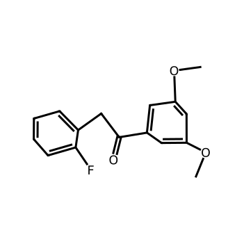 COc1cc(OC)cc(C(=O)Cc2ccccc2F)c1